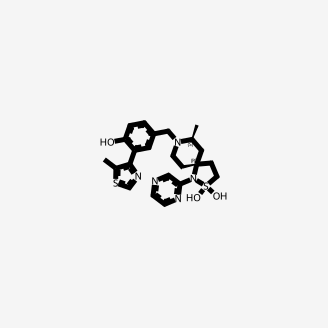 Cc1scnc1-c1cc(CN2CC[C@]3(CCS(O)(O)N3c3cnccn3)C[C@@H]2C)ccc1O